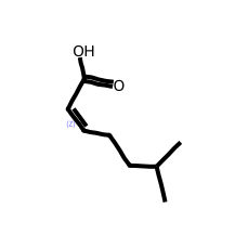 CC(C)CC/C=C\C(=O)O